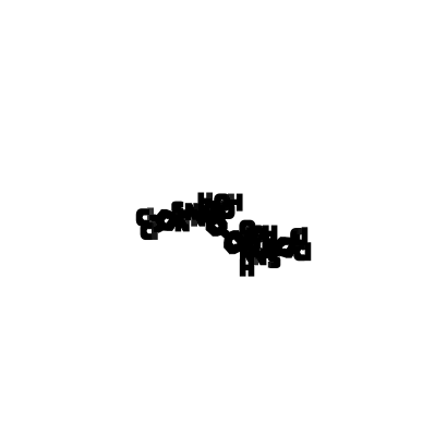 O=S(=O)(O)c1cc(-c2ccc(NN=Nc3nc4cc(Cl)c(Cl)cc4s3)c(S(=O)(=O)O)c2)ccc1NN=Nc1nc2cc(Cl)c(Cl)cc2s1